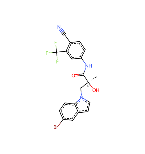 C[C@](O)(Cn1ccc2cc(Br)ccc21)C(=O)Nc1ccc(C#N)c(C(F)(F)F)c1